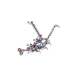 CCCCCCCCCCCCCCCC(=O)NCC(C)(C)COCC(C)(C)CNC(=O)CC(C)(C)OCC(C)(C)CNC(=O)CC[C@H](NC(=O)CCOCC1c2ccccc2-c2ccccc21)C(=O)NCC(C)(C)COC(C)(C)CC(=O)NCC(C)(C)COCC(C)(C)CNC(=O)CCCCCCCCCCCCCCC